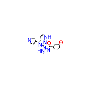 CNN(c1nc(-c2ccncc2)c2cc[nH]c2n1)N(C)C(=O)c1cccc(OC)c1